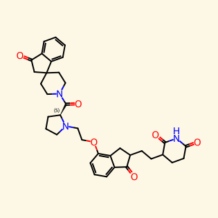 O=C1CCC(CCC2Cc3c(OCCN4CCC[C@H]4C(=O)N4CCC5(CC4)CC(=O)c4ccccc45)cccc3C2=O)C(=O)N1